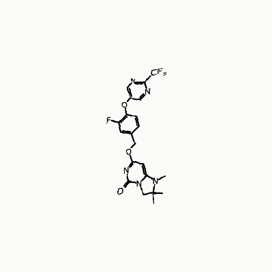 CN1c2cc(OCc3ccc(Oc4cnc(C(F)(F)F)nc4)c(F)c3)nc(=O)n2CC1(C)C